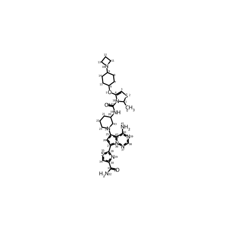 CC1SC=C(OC2CCC(N3CCC3)CC2)N1C(=O)NC1CCCN(c2cc(-c3nc(C(N)=O)cs3)n3ncnc(N)c23)C1